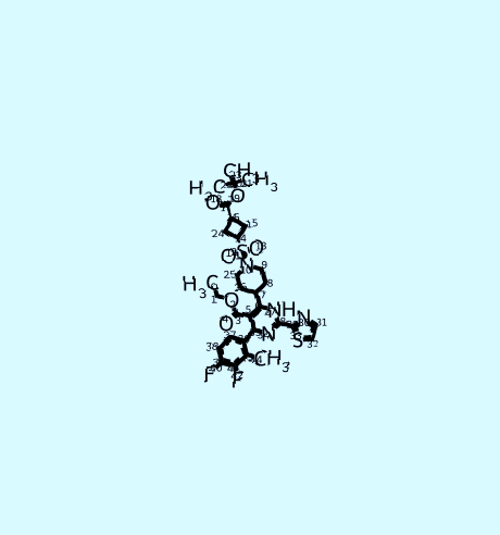 CCOC(=O)C1=C(C2CCN(S(=O)(=O)[C@H]3C[C@H](C(=O)OC(C)(C)C)C3)CC2)NC(c2nccs2)=NC1c1ccc(F)c(F)c1C